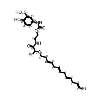 CCC=CCC=CCC=CCC=CCCOC(CC)C(=O)NCCOC(=O)Nc1ccc(O)c(C(=O)O)c1